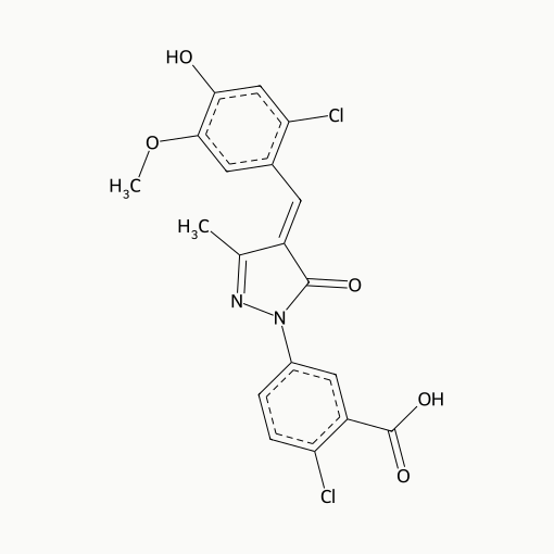 COc1cc(C=C2C(=O)N(c3ccc(Cl)c(C(=O)O)c3)N=C2C)c(Cl)cc1O